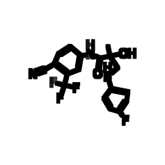 CC(O)(CBc1ccc(F)cc1)C(=O)Nc1ccc(C#N)c(C(F)(F)F)c1